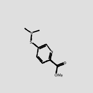 COC(=O)c1ccc(SN(C)C)cn1